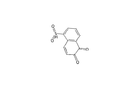 O=C1C=Cc2c(cccc2[SH](=O)=O)C1=O